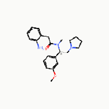 COc1cccc([C@@H](CN2CCCC2)N(C)C(=O)Cc2ccccc2N)c1